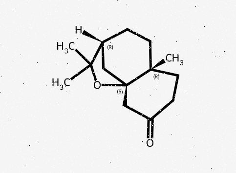 CC1(C)O[C@@]23CC(=O)CC[C@@]2(C)CC[C@@H]1C3